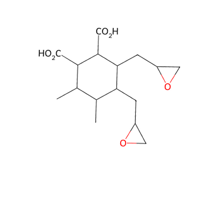 CC1C(C)C(C(=O)O)C(C(=O)O)C(CC2CO2)C1CC1CO1